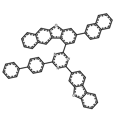 c1ccc(-c2ccc(-c3nc(-c4ccc5c(c4)oc4ccccc45)nc(-c4cc(-c5ccc6ccccc6c5)cc5oc6cc7ccccc7cc6c45)n3)cc2)cc1